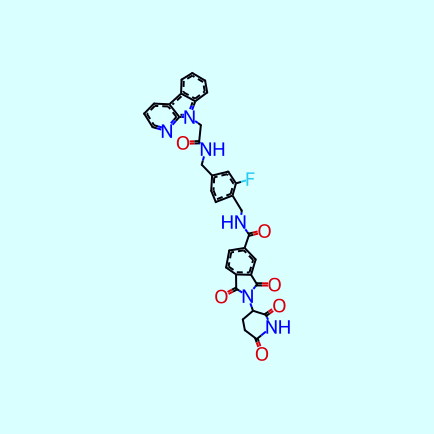 O=C(Cn1c2ccccc2c2cccnc21)NCc1ccc(CNC(=O)c2ccc3c(c2)C(=O)N(C2CCC(=O)NC2=O)C3=O)c(F)c1